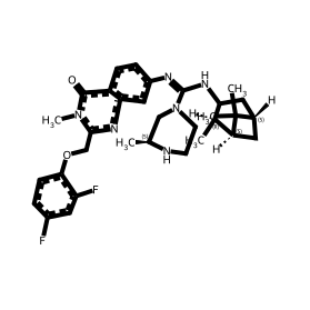 C[C@H]1CN(C(=Nc2ccc3c(=O)n(C)c(COc4ccc(F)cc4F)nc3c2)NC2C[C@@H]3C[C@@H]([C@H]2C)C3(C)C)CCN1